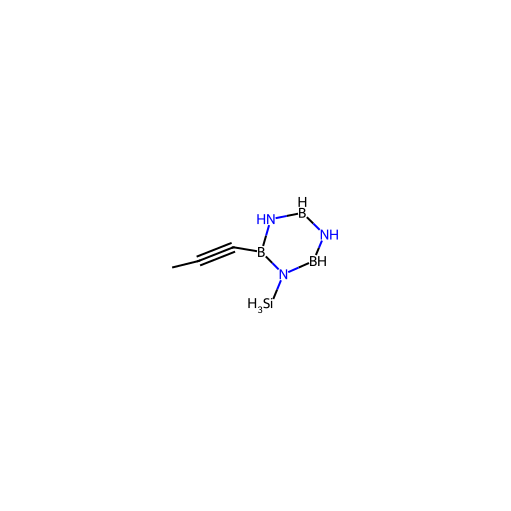 CC#CB1NBNBN1[SiH3]